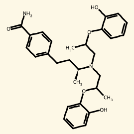 CC(CN(CC(C)Oc1ccccc1O)[C@@H](C)CCc1ccc(C(N)=O)cc1)Oc1ccccc1O